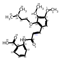 COc1ccc(/C=C/C(=O)Nc2ccccc2C(=O)O)c(OCCN(C)C)c1OC